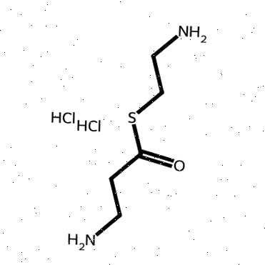 Cl.Cl.NCCSC(=O)CCN